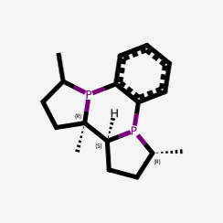 CC1CC[C@]2(C)[C@@H]3CC[C@@H](C)P3c3ccccc3P12